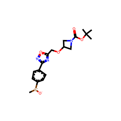 C[S+]([O-])c1ccc(-c2noc(COC3CN(C(=O)OC(C)(C)C)C3)n2)cc1